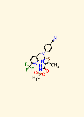 Cc1sc(N(Cc2ccc(C(F)(F)F)nc2)c2ccc(C#N)cc2)nc1C(=O)NS(C)(=O)=O